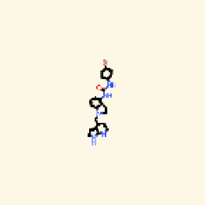 O=C(Nc1ccc(Br)cc1)Nc1cccc2c1CCN2Cc1ccnc2[nH]ccc12